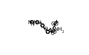 C[C@H](c1ccc(COc2cccc3c2CN(C(CCC(=O)OC(C)(C)C)C(N)=O)C3=O)cc1)N1CCN(c2ccncn2)CC1